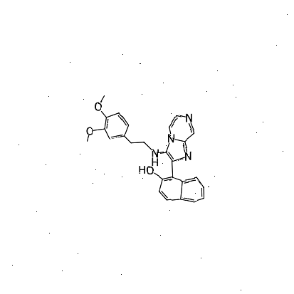 COc1ccc(CCNc2c(-c3c(O)ccc4ccccc34)nc3cnccn23)cc1OC